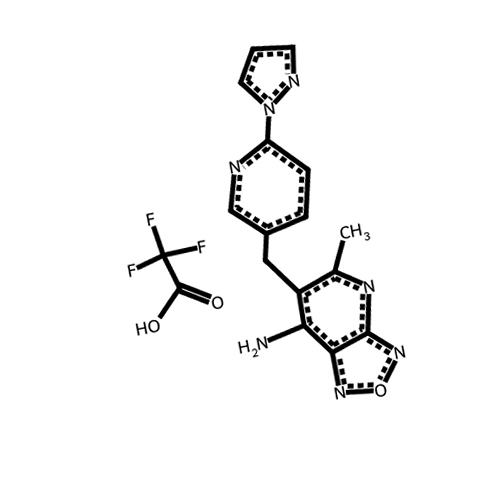 Cc1nc2nonc2c(N)c1Cc1ccc(-n2cccn2)nc1.O=C(O)C(F)(F)F